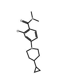 CN(C)C(=O)c1ccc(N2CCC(C3CC3)CC2)cc1Cl